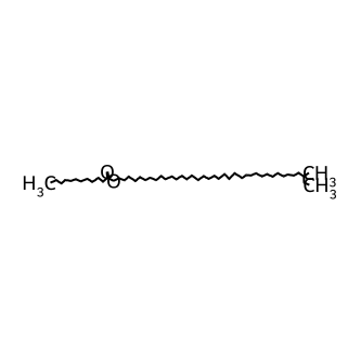 CCCCCCCCCCCC(=O)OCCCCCCCCCCCCCCCCCCCCCCCCCCCCCCCCCCCC(C)CC